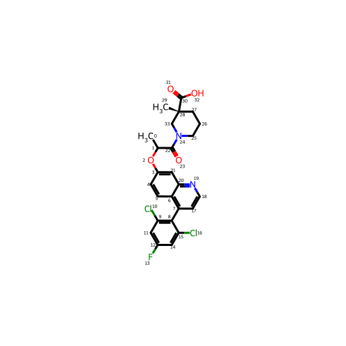 CC(Oc1ccc2c(-c3c(Cl)cc(F)cc3Cl)ccnc2c1)C(=O)N1CCC[C@@](C)(C(=O)O)C1